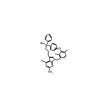 COc1c(C)cnc(Cn2cc(CCO[Si](c3ccccc3)(c3ccccc3)C(C)(C)C)c3c(Cl)nc(N)nc32)c1C